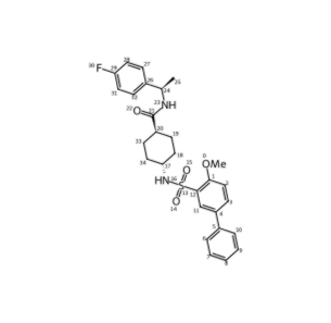 COc1ccc(-c2ccccc2)cc1S(=O)(=O)N[C@H]1CC[C@H](C(=O)N[C@H](C)c2ccc(F)cc2)CC1